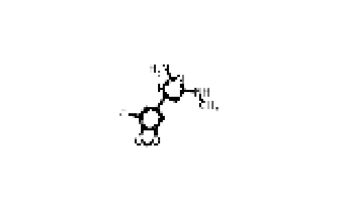 CNc1cc(-c2cc(Cl)c3c(c2)OCO3)nc(N)n1